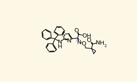 NC(=O)C1(CO/N=C(\C(=O)O)c2csc(NC(c3ccccc3)(c3ccccc3)c3ccccc3)n2)CC1